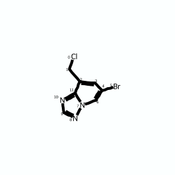 ClCc1cc(Br)cn2ncnc12